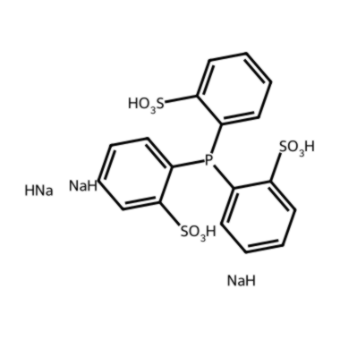 O=S(=O)(O)c1ccccc1P(c1ccccc1S(=O)(=O)O)c1ccccc1S(=O)(=O)O.[NaH].[NaH].[NaH]